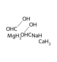 O=CO.O=CO.[CaH2].[MgH2].[NaH]